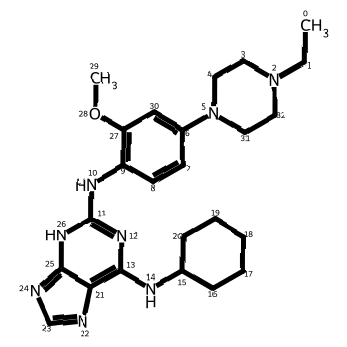 CCN1CCN(c2ccc(Nc3nc(NC4CCCCC4)c4ncnc-4[nH]3)c(OC)c2)CC1